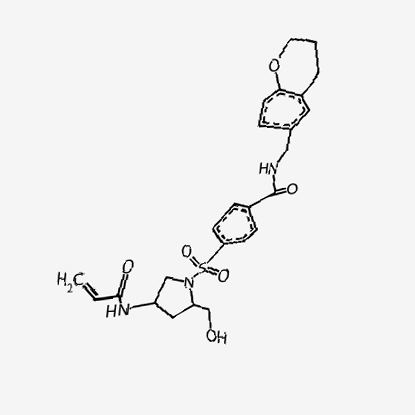 C=CC(=O)NC1CC(CO)N(S(=O)(=O)c2ccc(C(=O)NCc3ccc4c(c3)CCCO4)cc2)C1